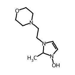 CC1N(O)C=CN1CCN1CCOCC1